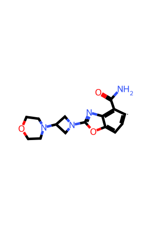 NC(=O)c1[c]ccc2oc(N3CC(N4CCOCC4)C3)nc12